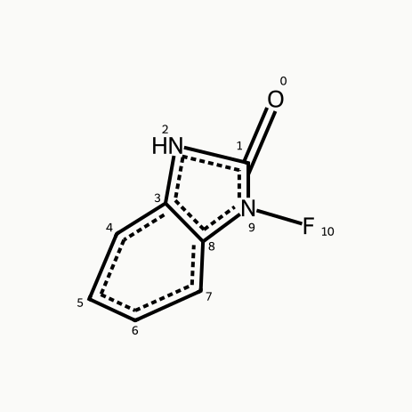 O=c1[nH]c2ccccc2n1F